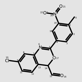 Cc1ccc(C2=Nc3cc(Cl)ccc3C(C=O)O2)cc1[N+](=O)[O-]